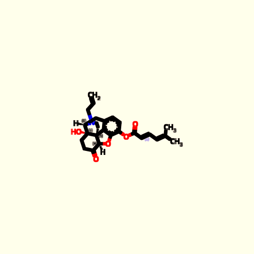 C=CCN1CC[C@]23c4c5ccc(OC(=O)/C=C/C=C(C)C)c4O[C@H]2C(=O)CC[C@@]3(O)[C@H]1C5